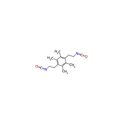 Cc1c(C)c(CCN=C=O)c(C)c(C)c1CCN=C=O